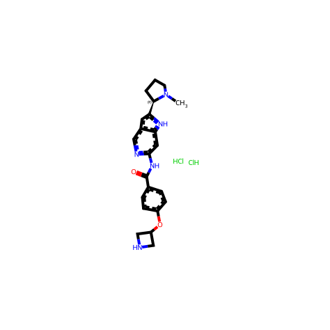 CN1CCC[C@@H]1c1cc2cnc(NC(=O)c3ccc(OC4CNC4)cc3)cc2[nH]1.Cl.Cl